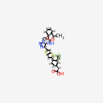 C[C@@H](OC(=O)Nc1c(-c2cc3sc(-c4ccc(CC(=O)O)cc4C(F)(F)F)cc3s2)nnn1C)c1ccccc1